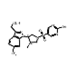 C[C@@H]1CN(S(=O)(=O)c2cnc(O)nc2)C[C@@H]1n1nc(CC(=O)O)c2ccc(C(F)(F)F)cc21